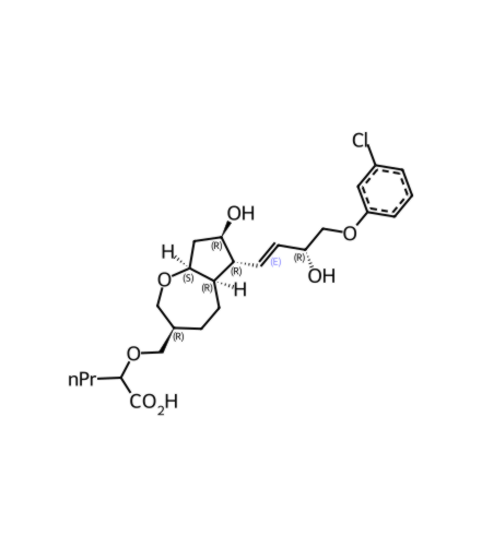 CCCC(OC[C@@H]1CC[C@@H]2[C@@H](/C=C/[C@@H](O)COc3cccc(Cl)c3)[C@H](O)C[C@@H]2OC1)C(=O)O